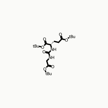 CC(C)(C)OC(=O)CC[C@H](NC(=O)NCC(=O)OC(C)(C)C)C(=O)OC(C)(C)C